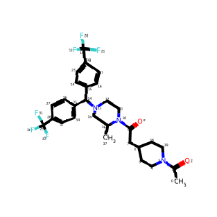 CC(=O)N1CCC(CC(=O)N2CCN(C(c3ccc(C(F)(F)F)cc3)c3ccc(C(F)(F)F)cc3)CC2C)CC1